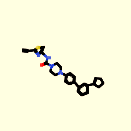 C#Cc1nc(NC(=O)N2CCN(c3ccc(-c4cccc(C5=CCCC5)c4)cc3)CC2)cs1